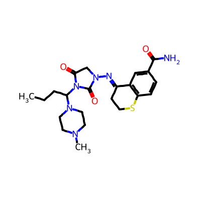 CCCC(N1CCN(C)CC1)N1C(=O)CN(/N=C2\CCSc3ccc(C(N)=O)cc32)C1=O